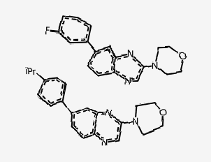 CC(C)c1ccc(-c2ccc3ncc(N4CCOCC4)nc3c2)cc1.Fc1cccc(-c2ccc3ncc(N4CCOCC4)nc3c2)c1